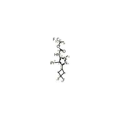 CC(C)c1c(C2CC(F)(F)C2)nn(C)c1NC(=O)O[C@H](C)C(F)(F)F